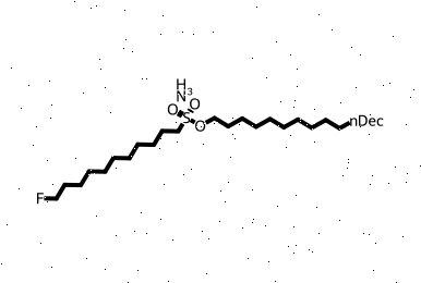 CCCCCCCCCCCCCCCCCCCCOS(=O)(=O)CCCCCCCCCCCF.N